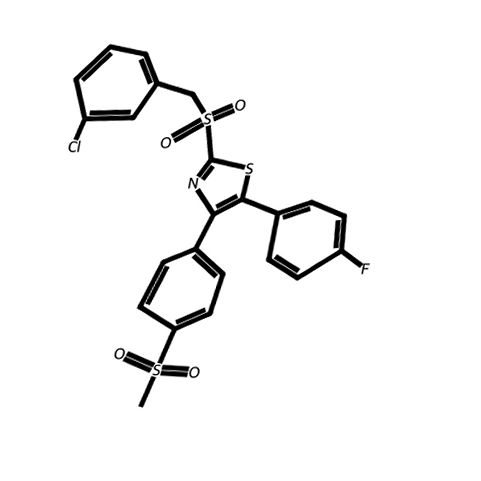 CS(=O)(=O)c1ccc(-c2nc(S(=O)(=O)Cc3cccc(Cl)c3)sc2-c2ccc(F)cc2)cc1